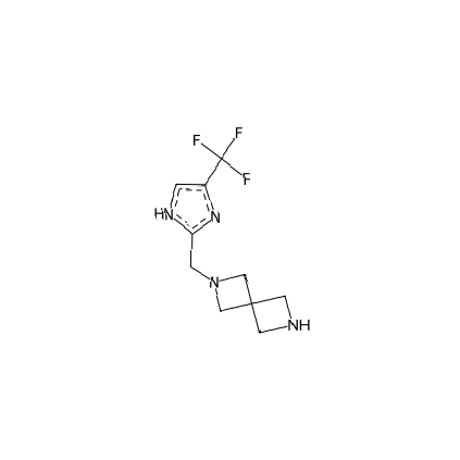 FC(F)(F)c1c[nH]c(CN2CC3(CNC3)C2)n1